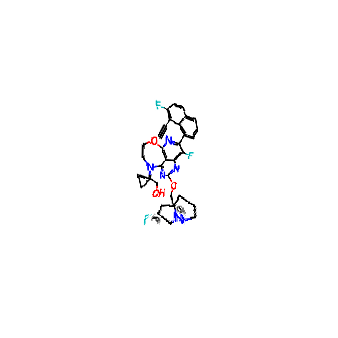 C#Cc1c(F)ccc2cccc(-c3nc4c5c(nc(OC[C@@]67CCCN6C[C@H](F)C7)nc5c3F)N(C3(CO)CC3)CCO4)c12